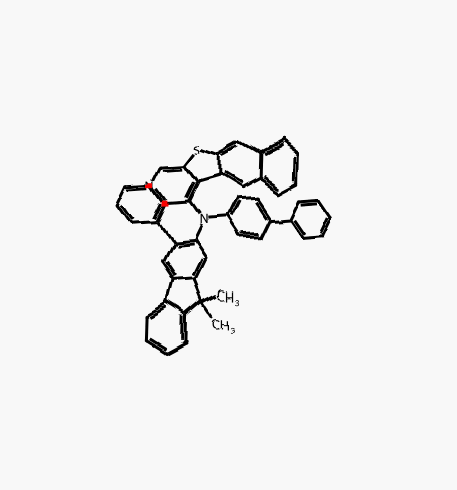 CC1(C)c2ccccc2-c2cc(-c3ccccc3)c(N(c3ccc(-c4ccccc4)cc3)c3cncc4sc5cc6ccccc6cc5c34)cc21